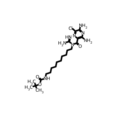 CC(C)(C)OC(=O)NCCCCCCCCCCN(C(=N)N)C(=O)c1nc(Cl)c(N)nc1N